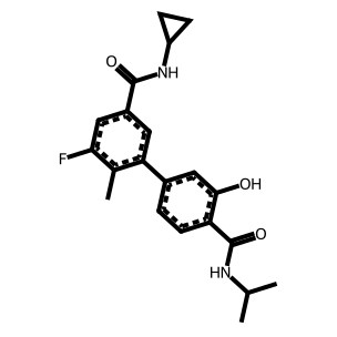 Cc1c(F)cc(C(=O)NC2CC2)cc1-c1ccc(C(=O)NC(C)C)c(O)c1